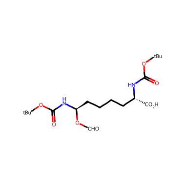 CC(C)(C)OC(=O)N[C@@H](CCCC[C@H](NC(=O)OC(C)(C)C)C(=O)O)OC=O